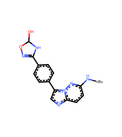 CCCCNc1ccc2ncc(-c3ccc(C4=NOC(O)N4)cc3)n2n1